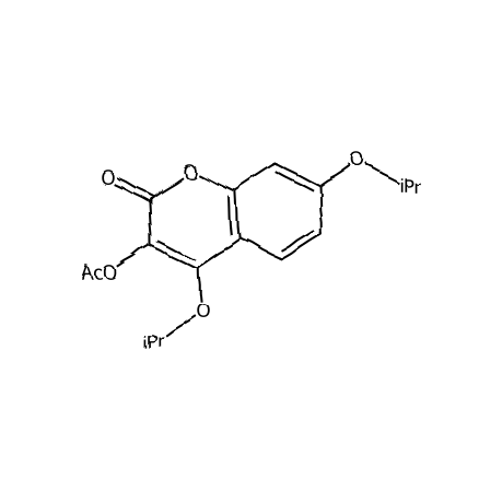 CC(=O)Oc1c(OC(C)C)c2ccc(OC(C)C)cc2oc1=O